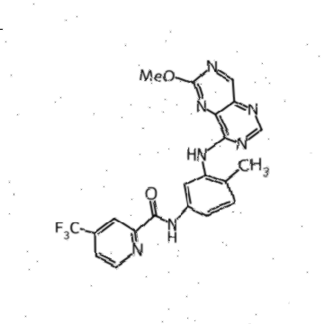 COc1ncc2ncnc(Nc3cc(NC(=O)c4cc(C(F)(F)F)ccn4)ccc3C)c2n1